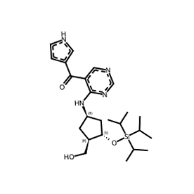 CC(C)[Si](O[C@H]1C[C@H](Nc2ncncc2C(=O)c2cc[nH]c2)C[C@@H]1CO)(C(C)C)C(C)C